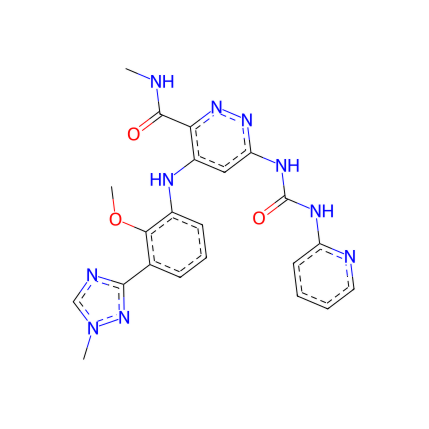 CNC(=O)c1nnc(NC(=O)Nc2ccccn2)cc1Nc1cccc(-c2ncn(C)n2)c1OC